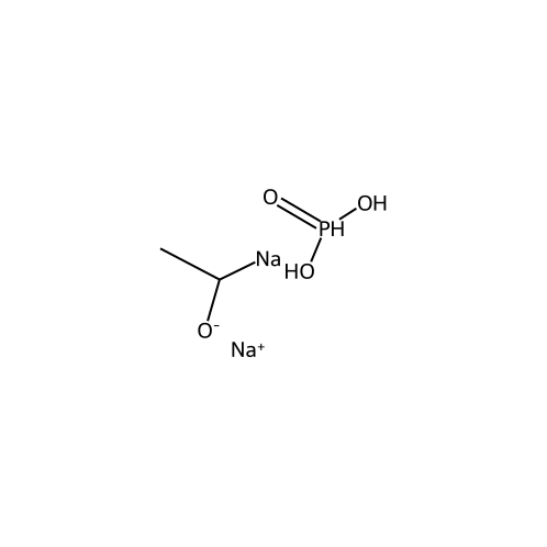 C[CH]([O-])[Na].O=[PH](O)O.[Na+]